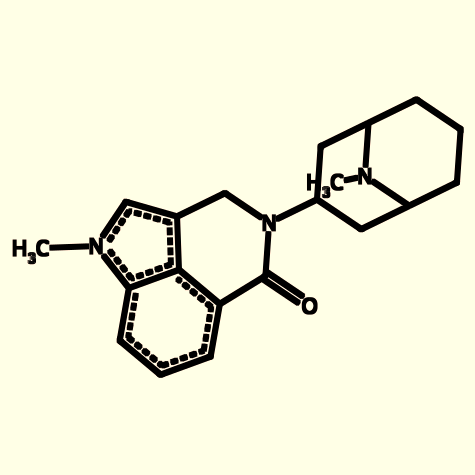 CN1C2CCCC1CC(N1Cc3cn(C)c4cccc(c34)C1=O)C2